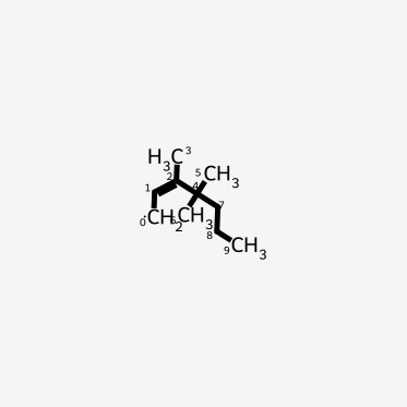 [CH2]C=C(C)C(C)(C)CCC